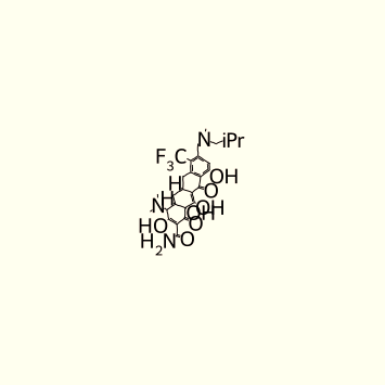 CC(C)CN(C)Cc1cc(O)c2c(c1C(F)(F)F)C[C@H]1C[C@H]3[C@H](N(C)C)C(O)=C(C(N)=O)C(=O)[C@@]3(O)C(O)=C1C2=O